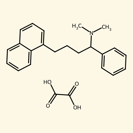 CN(C)C(CCCc1cccc2ccccc12)c1ccccc1.O=C(O)C(=O)O